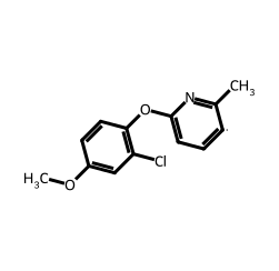 COc1ccc(Oc2cc[c]c(C)n2)c(Cl)c1